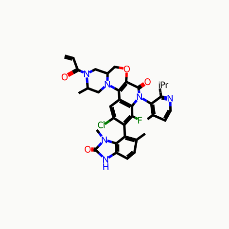 C=CC(=O)N1CC2COc3c(c4cc(Cl)c(-c5c(C)ccc6[nH]c(=O)n(C)c56)c(F)c4n(-c4c(C)ccnc4C(C)C)c3=O)N2CC1C